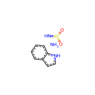 N.N=S(=O)=O.c1ccc2[nH]ccc2c1